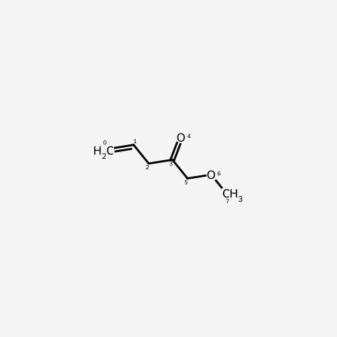 C=CCC(=O)COC